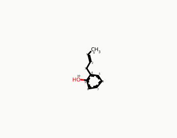 CC=CCc1ccccc1O